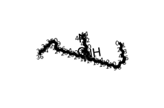 CCCCC/C=C\C/C=C\CCCCCCCCN(CCCCCCCC/C=C\C/C=C\CCCCC)NC(=O)CCCN(C)C